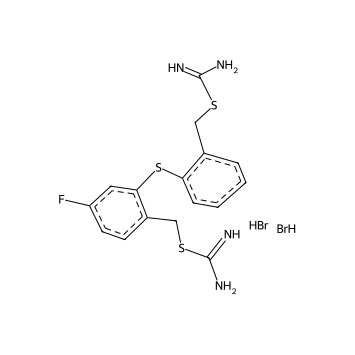 Br.Br.N=C(N)SCc1ccccc1Sc1cc(F)ccc1CSC(=N)N